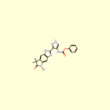 CCN1C(=O)C(C)(C)c2cc3[nH]c(-c4n[nH]cc4NC(=O)Oc4ccccc4)nc3cc21